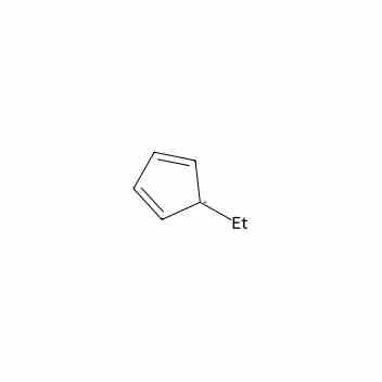 CC[C]1C=CC=C1